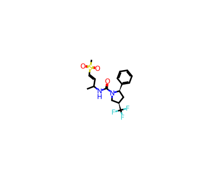 CC(/C=C/S(C)(=O)=O)NC(=O)N1C[C@H](C(F)(F)F)C[C@@H]1c1ccccc1